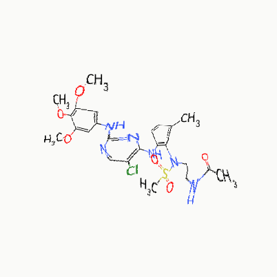 COc1cc(Nc2ncc(Cl)c(Nc3ccc(C)cc3N(CCNC(C)=O)S(C)(=O)=O)n2)cc(OC)c1OC